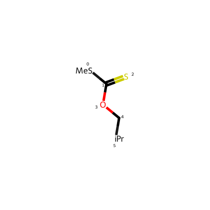 CSC(=S)OCC(C)C